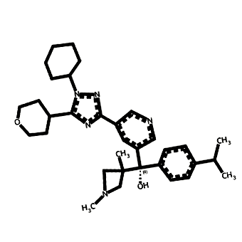 CC(C)c1ccc([C@](O)(c2cncc(-c3nc(C4CCOCC4)n(C4CCCCC4)n3)c2)C2(C)CN(C)C2)cc1